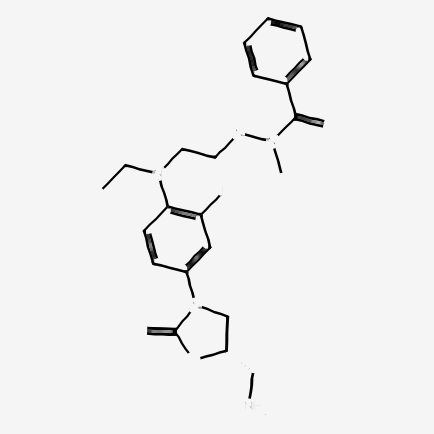 CCN(CCNN(C)C(=S)c1ccccc1)c1ccc(N2C[C@H](CN)OC2=O)cc1F